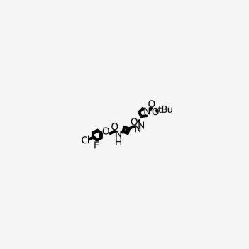 CC(C)(C)OC(=O)N1CC[C@@H](c2nnc(C34CC(NC(=O)COc5ccc(Cl)c(F)c5)(C3)C4)o2)C1